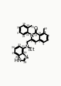 CCN(Cc1cc2cccc(C)c2c(=O)n1-c1ccccc1C)c1cccc2[nH]cnc12